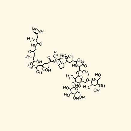 CCC(=O)[C@@H](NC(=O)[C@H](CC(=O)O)CC(=O)[C@@H]1CCCN1C(=O)[C@H](C)NC(=O)[C@H](CO)CC(=O)[C@@H](NC(=O)[C@@H](CC(=O)CNC(=O)[C@@H](N)Cc1cnc[nH]1)C(C)C)C(C)O)C(C)O[C@H]1OC(CO[C@@H]2OC(CO)[C@@H](O)[C@H](O)C2C)[C@H](O)[C@H](O[C@@H]2OC(CO)[C@H](O)[C@H](O)C2O)C1C